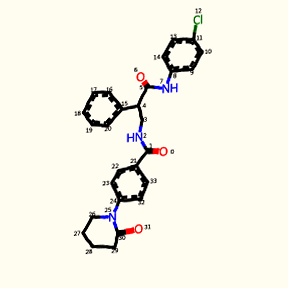 O=C(NCC(C(=O)Nc1ccc(Cl)cc1)c1ccccc1)c1ccc(N2CCCCC2=O)cc1